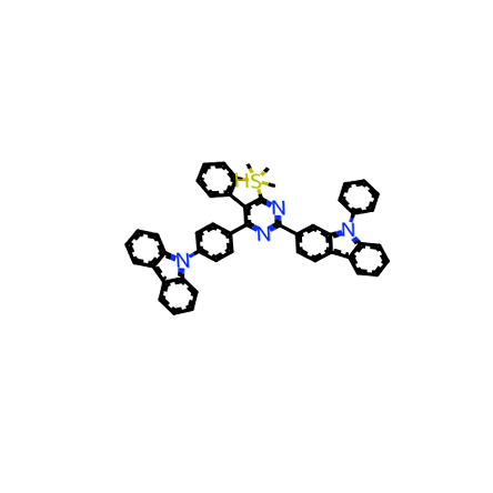 C[SH]1(C)(C)c2ccccc2-c2c(-c3ccc(-n4c5ccccc5c5ccccc54)cc3)nc(-c3ccc4c5ccccc5n(-c5ccccc5)c4c3)nc21